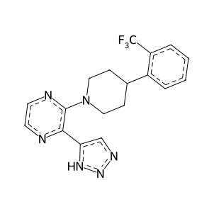 FC(F)(F)c1ccccc1C1CCN(c2nccnc2-c2cnn[nH]2)CC1